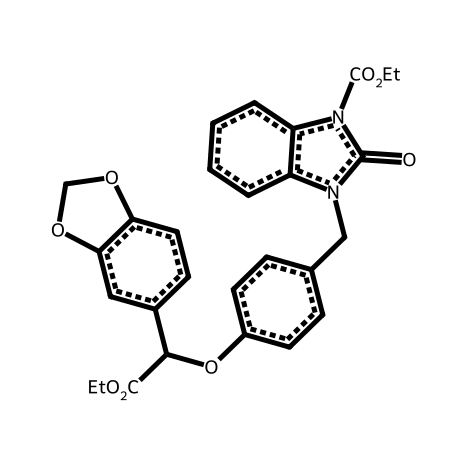 CCOC(=O)C(Oc1ccc(Cn2c(=O)n(C(=O)OCC)c3ccccc32)cc1)c1ccc2c(c1)OCO2